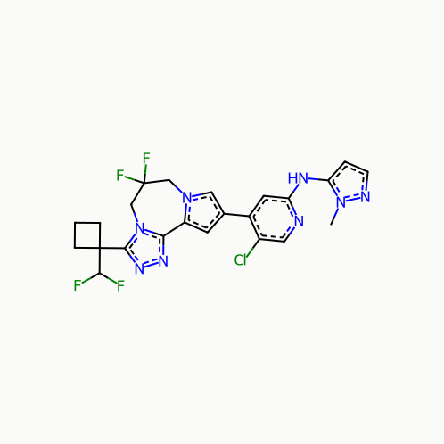 Cn1nccc1Nc1cc(-c2cc3n(c2)CC(F)(F)Cn2c-3nnc2C2(C(F)F)CCC2)c(Cl)cn1